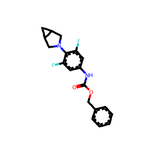 O=C(Nc1cc(F)c(N2CC3CC3C2)c(F)c1)OCc1ccccc1